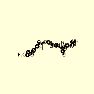 NC1(C(=O)N[C@@H](CCN2CCN(C(=O)CN3CCC(OCCNC(=O)c4ccc(C5CCN(C(=O)c6cccc7c(C(F)(F)F)cccc67)CC5)cc4)CC3)CC2)c2ccc(Cl)cc2)CCN(c2ncnc3[nH]ccc23)CC1